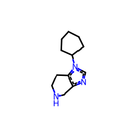 c1nc2c(n1C1CCCCC1)CCNC2